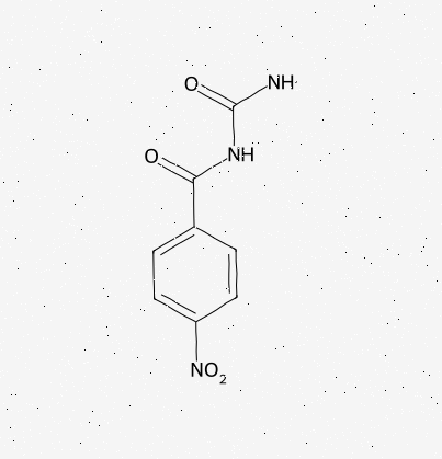 [NH]C(=O)NC(=O)c1ccc([N+](=O)[O-])cc1